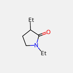 CCC1CCN(CC)C1=O